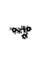 Fc1ccc(-c2nc(C3=NCN4C3=CN(Cc3ccccn3)c3ccccc34)no2)c(F)c1